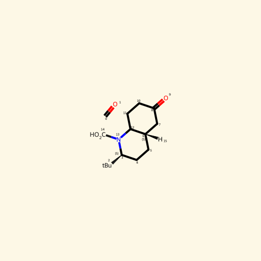 C=O.CC(C)(C)[C@@H]1CC[C@H]2CC(=O)CCC2N1C(=O)O